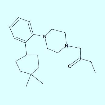 CCC(=O)CN1CCN(c2ccccc2C2CCC(C)(C)CC2)CC1